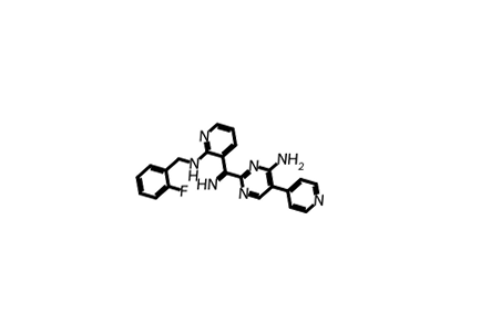 N=C(c1ncc(-c2ccncc2)c(N)n1)c1cccnc1NCc1ccccc1F